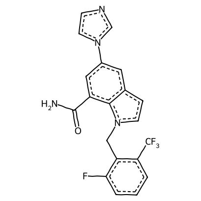 NC(=O)c1cc(-n2ccnc2)cc2ccn(Cc3c(F)cccc3C(F)(F)F)c12